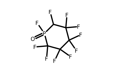 O=P1(F)C(F)C(F)(F)C(F)(F)C(F)(F)C1(F)F